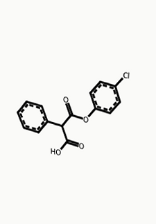 O=C(O)C(C(=O)Oc1ccc(Cl)cc1)c1ccccc1